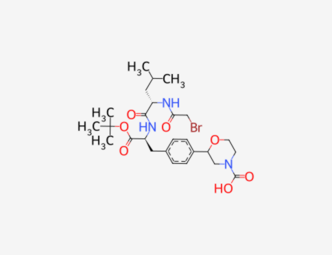 CC(C)C[C@H](NC(=O)CBr)C(=O)N[C@@H](Cc1ccc(C2CN(C(=O)O)CCO2)cc1)C(=O)OC(C)(C)C